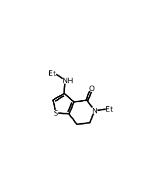 CCNc1csc2c1C(=O)N(CC)CC2